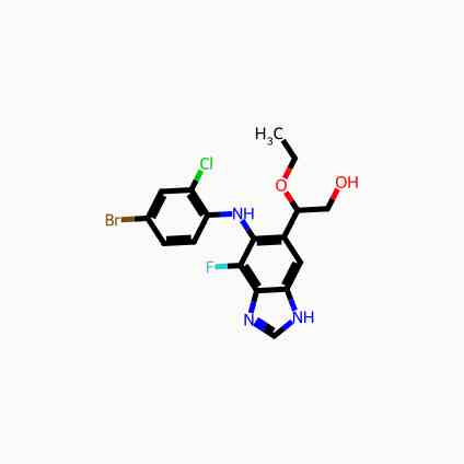 CCOC(CO)c1cc2[nH]cnc2c(F)c1Nc1ccc(Br)cc1Cl